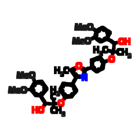 COc1ccc(C(O)C(C)(C)Oc2ccc(-c3nc(-c4ccc(OC(C)(C)C(O)c5ccc(OC)c(OC)c5)cc4)c(C)o3)cc2)cc1OC